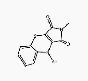 CC(=O)n1c2c(=O)n(C)c(=O)c=2sc2ccccc21